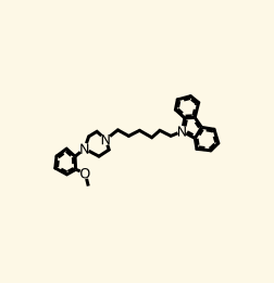 COc1ccccc1N1CCN(CCCCCCn2c3ccccc3c3ccccc32)CC1